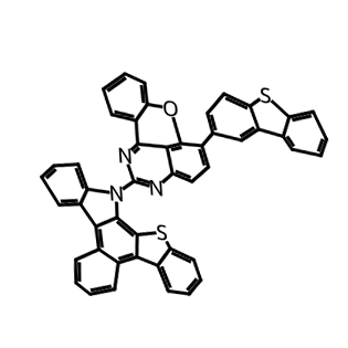 c1ccc2c(c1)Oc1c(-c3ccc4sc5ccccc5c4c3)ccc3nc(-n4c5ccccc5c5c6ccccc6c6c7ccccc7sc6c54)nc-2c13